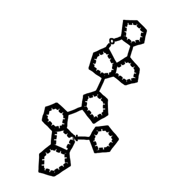 c1ccc(-n2c3ccccc3c3cccc(-c4cccc(-c5ccc6c7c(cccc57)-c5ccccc5O6)c4)c32)cc1